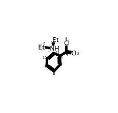 CCNCC.O=C(Cl)c1ccccc1